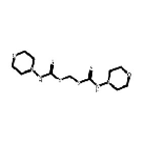 S=C(NN1CCOCC1)SCSC(=S)NN1CCOCC1